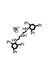 CC(C)c1cc(C(C)C)c(NCCNCCNc2c(C(C)C)cc(C(C)C)cc2C(C)C)c(C(C)C)c1.[Cl-].[Cl-].[Ni+2]